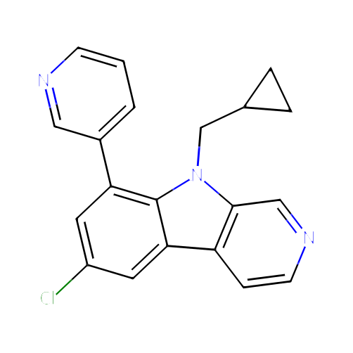 Clc1cc(-c2cccnc2)c2c(c1)c1ccncc1n2CC1CC1